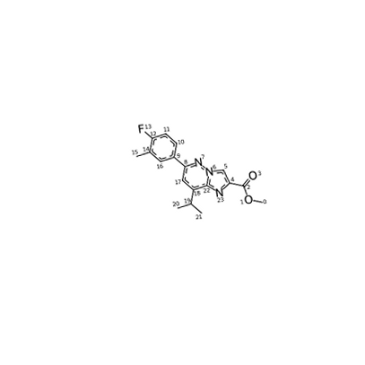 COC(=O)c1cn2nc(-c3ccc(F)c(C)c3)cc(C(C)C)c2n1